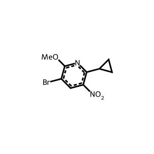 COc1nc(C2CC2)c([N+](=O)[O-])cc1Br